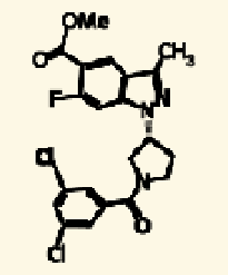 COC(=O)c1cc2c(C)nn([C@@H]3CCN(C(=O)c4cc(Cl)cc(Cl)c4)C3)c2cc1F